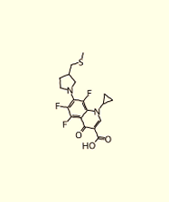 CSCC1CCN(c2c(F)c(F)c3c(=O)c(C(=O)O)cn(C4CC4)c3c2F)C1